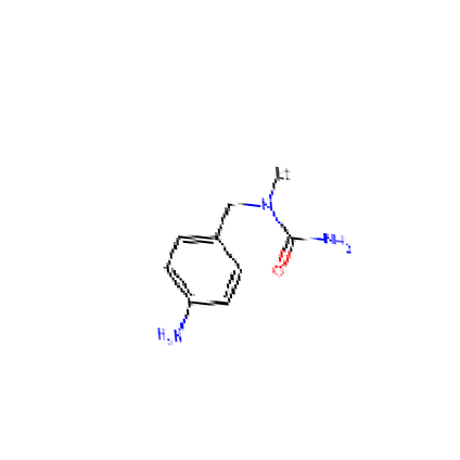 CCN(Cc1ccc(N)cc1)C(N)=O